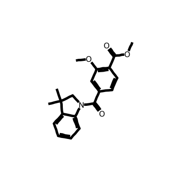 COC(=O)c1ccc(C(=O)N2CC(C)(C)c3ccccc32)cc1OC